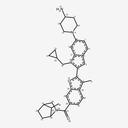 Cc1c(-c2cc3ccc(N4CCC(N)CC4)cc3n2CC2CC2)oc2cc(C(=O)N3CC4CCC3C4C)ccc12